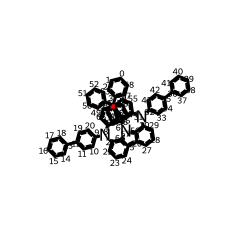 c1ccc(-c2ccc(N(c3ccc(-c4ccccc4)cc3)c3cccc4c5cccc(N(c6ccc(-c7ccccc7)cc6)c6ccc(-c7ccccc7)cc6)c5n(-c5ccccc5)c34)cc2)cc1